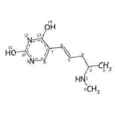 CNC(C)C/C=C/c1cnc(O)nc1O